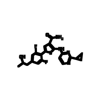 CC(O)Cc1cc(F)c(-c2cc(C(N)=O)c(Nc3ccnc(C4CC4)n3)s2)c(F)c1